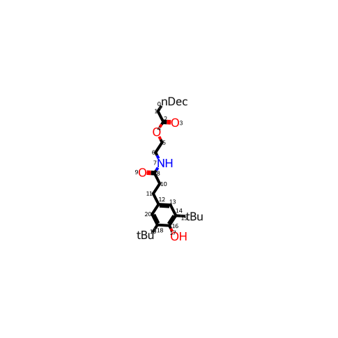 CCCCCCCCCCCC(=O)OCCNC(=O)CCc1cc(C(C)(C)C)c(O)c(C(C)(C)C)c1